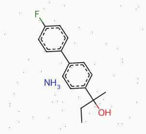 CCC(C)(O)c1ccc(-c2ccc(F)cc2)cc1.N